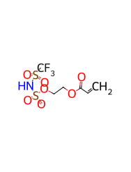 C=CC(=O)OCCOS(=O)(=O)NS(=O)(=O)C(F)(F)F